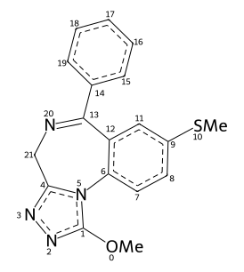 COc1nnc2n1-c1ccc(SC)cc1C(c1ccccc1)=NC2